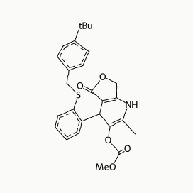 COC(=O)OC1=C(C)NC2=C(C(=O)OC2)C1c1ccccc1SCc1ccc(C(C)(C)C)cc1